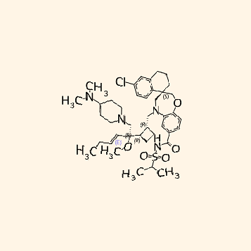 CC/C=C/[C@](CN1CCC(N(C)C)CC1)(OC)[C@@H]1CC[C@H]1CN1C[C@@]2(CCCc3cc(Cl)ccc32)COc2ccc(C(=O)NS(=O)(=O)C(C)C)cc21